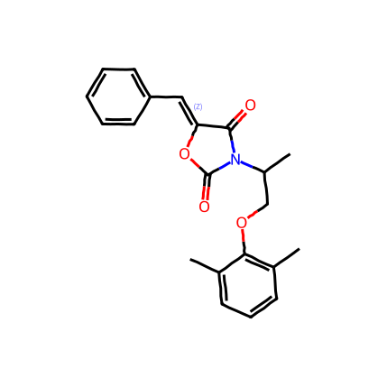 Cc1cccc(C)c1OCC(C)N1C(=O)O/C(=C\c2ccccc2)C1=O